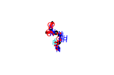 CC(c1ccc(NC(=O)Nc2cc(-c3ccc4nc(N(C(=O)OC(C)(C)C)C5CCN(C(=O)OC(C)(C)C)CC5)ncc4c3)n(C)n2)cc1C(F)(F)F)N1CCN(C)CC1